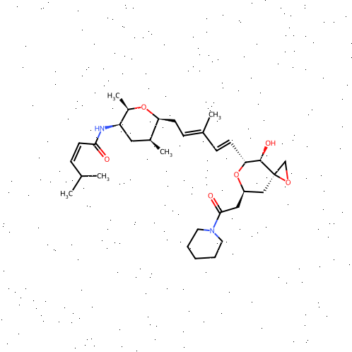 CC(/C=C/[C@H]1O[C@H](CC(=O)N2CCCCC2)C[C@@]2(CO2)[C@@H]1O)=C\C[C@@H]1O[C@H](C)[C@H](NC(=O)/C=C\C(C)C)C[C@@H]1C